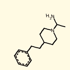 C[C](N)N1CCC(CCc2ccccc2)CC1